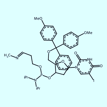 C/N=C/CCOP(OC1CC(n2cc(I)c(=O)[nH]c2=O)OC1COC(c1ccccc1)(c1ccc(OC)cc1)c1ccc(OC)cc1)N(C(C)C)C(C)C